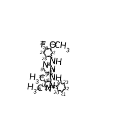 COc1cc(Nc2nccc(Nc3c(C)c(C)nn3-c3ccccc3)n2)ccc1F